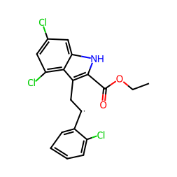 CCOC(=O)c1[nH]c2cc(Cl)cc(Cl)c2c1C[CH]c1ccccc1Cl